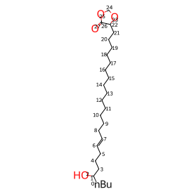 CCCCC(O)CCC/C=C/CCCCCCCCCCCCCCC1OCOC1=O